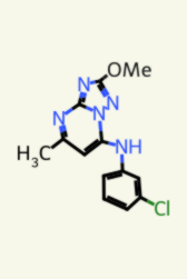 COc1nc2nc(C)cc(Nc3cccc(Cl)c3)n2n1